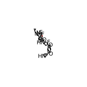 Cn1c(-c2cn(CC3CC3)nc2C(F)(F)F)cnc1C(=O)Nc1ccc(C(=O)N2CCN(C(=O)C3C4CNCC43)CC2)c(F)c1